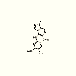 CNc1nc(Nc2c(OC)ccc3c2cnn3C)ncc1C(F)(F)F